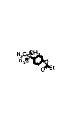 CCC(=O)OC1CCC([Si](C)(C)C)CC1